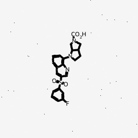 O=C(O)N1CC2CCN(c3cccc4cc(S(=O)(=O)c5cccc(F)c5)cnc34)C2C1